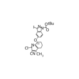 Cc1c(C#N)c(Cl)nc2c1CCC[C@@H]2Oc1ccc2c(c1)c(I)nn2C(=O)OC(C)(C)C